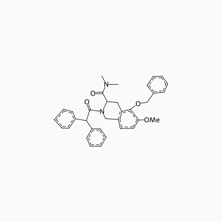 COc1ccc2c(c1OCc1ccccc1)CC(C(=O)N(C)C)N(C(=O)C(c1ccccc1)c1ccccc1)C2